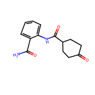 NC(=O)c1ccccc1NC(=O)C1CCC(=O)CC1